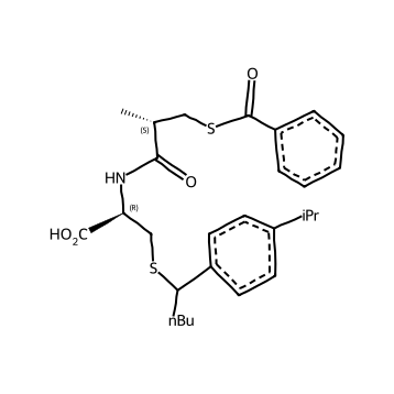 CCCCC(SC[C@H](NC(=O)[C@H](C)CSC(=O)c1ccccc1)C(=O)O)c1ccc(C(C)C)cc1